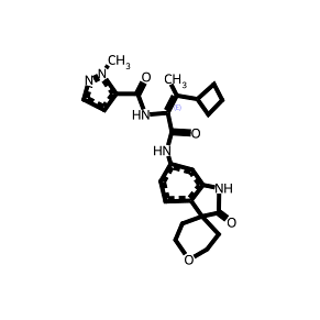 C/C(=C(\NC(=O)c1ccnn1C)C(=O)Nc1ccc2c(c1)NC(=O)C21CCOCC1)C1CCC1